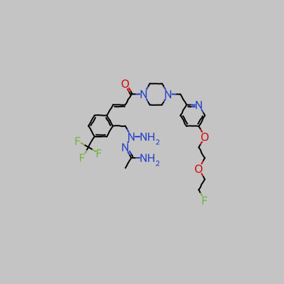 C/C(N)=N/N(N)Cc1cc(C(F)(F)F)ccc1/C=C/C(=O)N1CCN(Cc2ccc(OCCOCCF)cn2)CC1